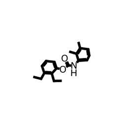 CCc1cccc(OC(=O)Nc2cccc(C)c2C)c1CC